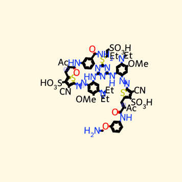 CCN(CC)c1cc(Nc2nc(Nc3cc(N(CC)CC)c(OC)cc3/N=N/c3sc(/C=C(\C(C)=O)C(=O)Nc4cccc(OCN)c4)c(S(=O)(=O)O)c3C#N)nc(SCCS(=O)(=O)O)n2)c(/N=N/c2sc(/C=C(/C(C)=O)C(=O)Nc3cccc(C(N)=O)c3)c(S(=O)(=O)O)c2C#N)cc1OC